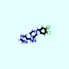 Clc1ccc(CN2CCn3c(nnc3-c3cnccn3)C2)cc1Cl